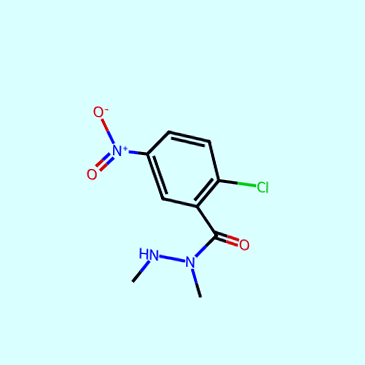 CNN(C)C(=O)c1cc([N+](=O)[O-])ccc1Cl